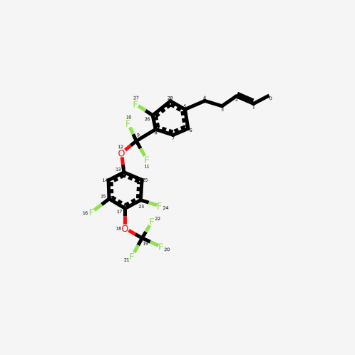 C/C=C/CCc1ccc(C(F)(F)Oc2cc(F)c(OC(F)(F)F)c(F)c2)c(F)c1